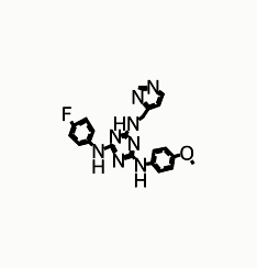 COc1ccc(Nc2nc(NCc3ccncn3)nc(Nc3ccc(F)cc3)n2)cc1